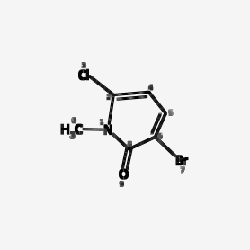 Cn1c(Cl)ccc(Br)c1=O